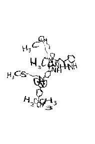 CSCCCN(c1ccc(NC(=O)N[C@H](Cc2c[nH]c3ccccc23)C(=O)NC(C)CCCC(C)C)cc1)S(=O)(=O)c1ccc(C(C)(C)C)cc1